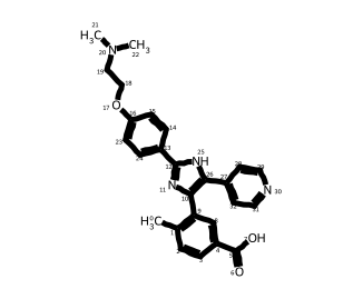 Cc1ccc(C(=O)O)cc1-c1nc(-c2ccc(OCCN(C)C)cc2)[nH]c1-c1ccncc1